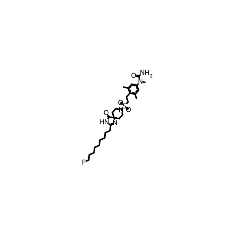 Cc1cc(N(C)C(N)=O)cc(C)c1CCS(=O)(=O)N1CCC2(CC1)N=C(CCCCCCCCCF)NC2=O